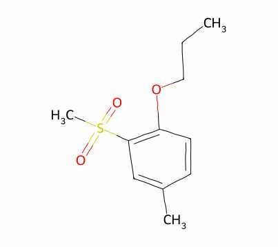 CCCOc1ccc(C)cc1S(C)(=O)=O